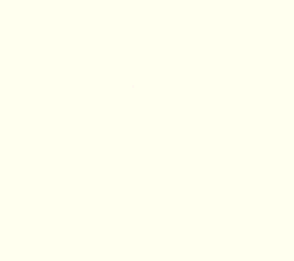 CN(C)CCCn1c[c]nc1